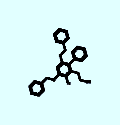 CCc1c(OCc2ccccc2)cc(OCc2ccccc2)c(-c2ccccc2)c1CCO